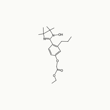 CCCc1cc(OCC(=O)OCC)ccc1C1=NC(C)(C)C(C)(C)N1O